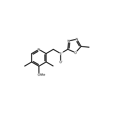 COc1c(C)cnc(C[S+]([O-])c2nnc(C)o2)c1C